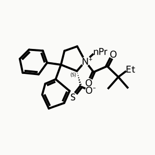 CCC[N+]1(C(=O)C(=O)C(C)(C)CC)CCC(c2ccccc2)(c2ccccc2)[C@H]1C([O-])=S